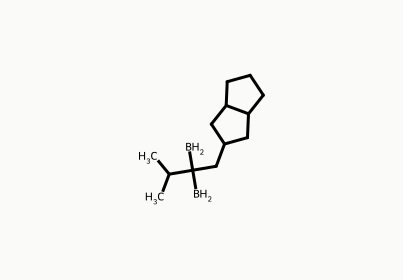 BC(B)(CC1CC2CCCC2C1)C(C)C